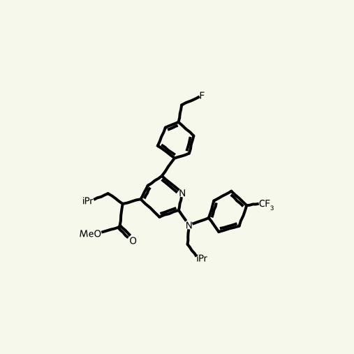 COC(=O)C(CC(C)C)c1cc(-c2ccc(CF)cc2)nc(N(CC(C)C)c2ccc(C(F)(F)F)cc2)c1